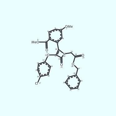 COC(=O)c1ccc(OC)cc1C1=C(Oc2ccc(Cl)cc2)C(=O)N1CC(=O)OCc1ccccc1